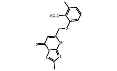 Cc1nc2[nH]c(COc3cccc(C)c3C(=O)O)cc(=O)n2n1